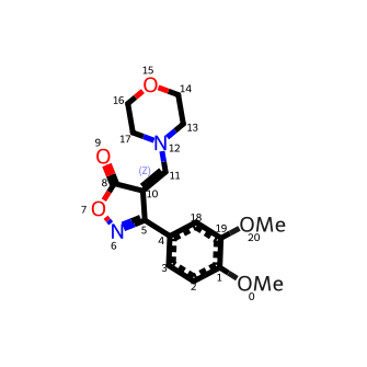 COc1ccc(C2=NOC(=O)/C2=C\N2CCOCC2)cc1OC